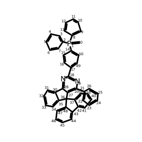 C=P(c1ccccc1)(c1ccccc1)c1ccc(-c2nc(-c3ccccc3)c3c(n2)-c2ccccc2C32c3ccccc3-c3ccccc32)cc1